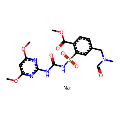 COC(=O)c1ccc(CN(C)C=O)cc1S(=O)(=O)NC(=O)Nc1nc(OC)cc(OC)n1.[Na]